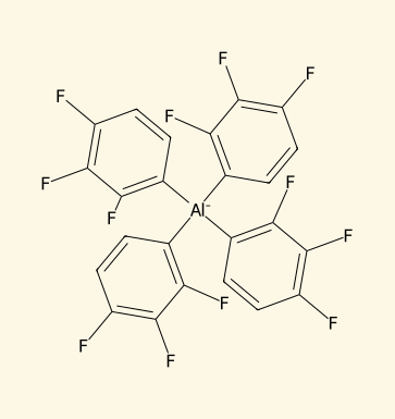 Fc1cc[c]([Al-]([c]2ccc(F)c(F)c2F)([c]2ccc(F)c(F)c2F)[c]2ccc(F)c(F)c2F)c(F)c1F